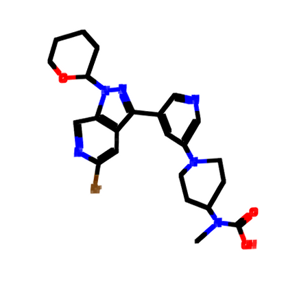 CN(C(=O)O)C1CCN(c2cncc(-c3nn(C4CCCCO4)c4cnc(Br)cc34)c2)CC1